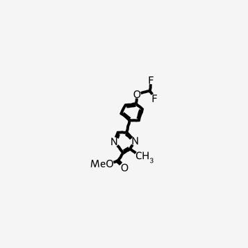 COC(=O)c1ncc(-c2ccc(OC(F)F)cc2)nc1C